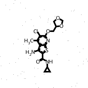 Cc1c(Cl)c(OCC2COCO2)nc2sc(C(=O)NC3CC3)c(N)c12